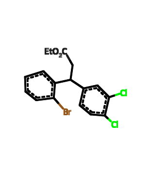 CCOC(=O)CC(c1ccc(Cl)c(Cl)c1)c1ccccc1Br